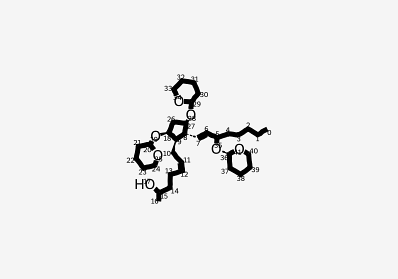 CCCCCC(/C=C/[C@@H]1[C@@H](C/C=C\CCC(C)O)[C@@H](OC2CCCCO2)C[C@H]1OC1CCCCO1)O[C@H]1CCCCO1